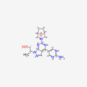 CC(CO)n1ncc2c(-c3cnc(N)nc3)nc(N3CC4CCC(C3)O4)nc21